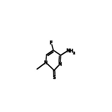 Cn1cc(F)c(N)nc1=S